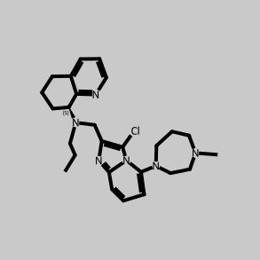 CCCN(Cc1nc2cccc(N3CCCN(C)CC3)n2c1Cl)[C@H]1CCCc2cccnc21